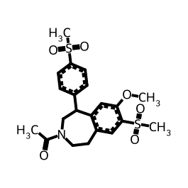 COc1cc2c(cc1S(C)(=O)=O)CCN(C(C)=O)CC2c1ccc(S(C)(=O)=O)cc1